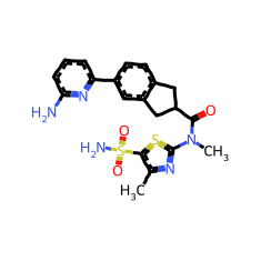 Cc1nc(N(C)C(=O)C2Cc3ccc(-c4cccc(N)n4)cc3C2)sc1S(N)(=O)=O